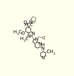 COc1cc(C(=O)N2CC3CCC2C3C)cc2nc(-c3cc4ccc(Nc5ccncc5C)nc4n3CC3CC3)n(C)c12